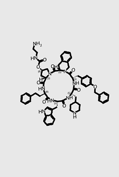 NCCNC(=O)O[C@@H]1C[C@H]2C(=O)N[C@H](CCc3ccccc3)C(=O)N[C@@H](Cc3c[nH]c4ccccc34)C(=O)N[C@@H](CC3CCNCC3)C(=O)N[C@@H](Cc3ccc(OCc4ccccc4)cc3)C(=O)N3Cc4ccccc4C[C@H]3C(=O)N2C1